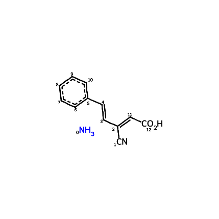 N.N#CC(C=Cc1ccccc1)=CC(=O)O